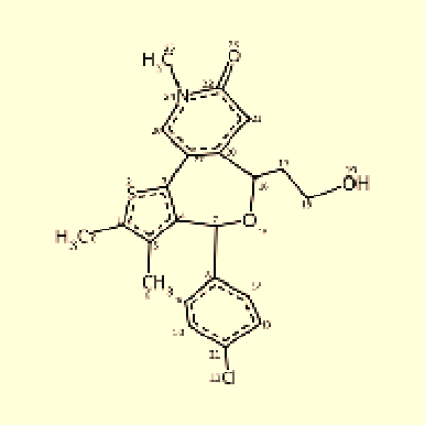 Cc1sc2c(c1C)C(c1ccc(Cl)cc1)OC(CCO)c1cc(=O)n(C)cc1-2